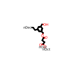 CCC[CH]CCCCCCCCc1cc(CO)cc(COC(=O)CCC(OCCCCCCCC)OCCCCCCCC)c1